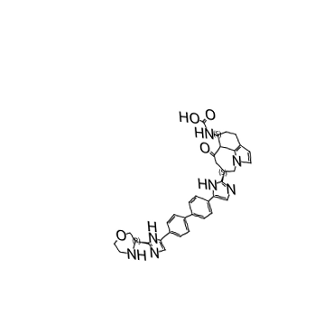 O=C(O)N[C@H]1CCc2ccn3c2C1C(=O)C[C@H](c1ncc(-c2ccc(-c4ccc(-c5cnc([C@@H]6COCCN6)[nH]5)cc4)cc2)[nH]1)C3